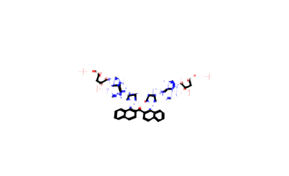 O=C(c1ccc2ccccc2c1N1CC[C@@H](Nc2ncnc3c2ncn3[C@@H]2O[C@H](CO)C[C@H]2O)C1)c1ccc2ccccc2c1N1CC[C@@H](Nc2ncnc3c2ncn3[C@@H]2O[C@H](CO)C[C@H]2O)C1